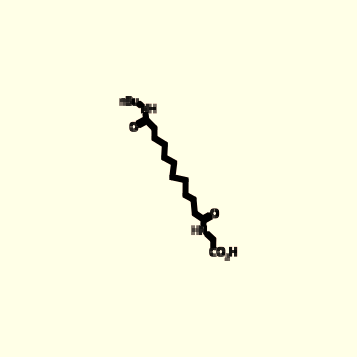 CCCCNC(=O)CCCCCCCCCCC(=O)NCC(=O)O